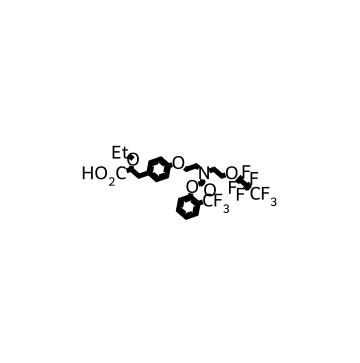 CCOC(Cc1ccc(OCCN(CCOC(F)(F)C(F)(F)C(F)(F)F)C(=O)Oc2ccccc2C(F)(F)F)cc1)C(=O)O